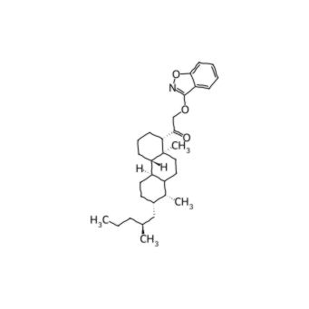 CCC[C@H](C)C[C@@H]1CC[C@@H]2C(CC[C@]3(C)[C@@H](C(=O)COc4noc5ccccc45)CCC[C@@H]23)[C@@H]1C